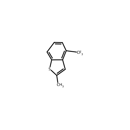 Cc1cc2c(C(F)(F)F)cccc2s1